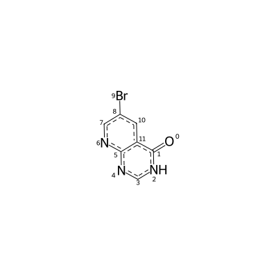 O=c1[nH]cnc2ncc(Br)cc12